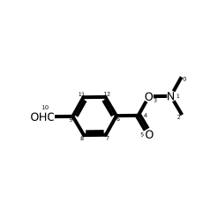 CN(C)OC(=O)c1ccc(C=O)cc1